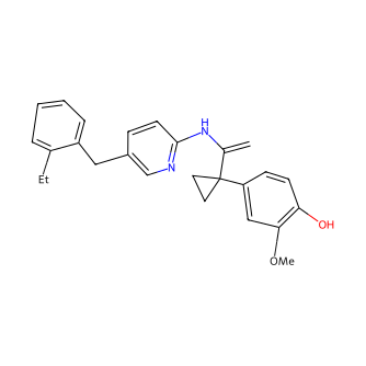 C=C(Nc1ccc(Cc2ccccc2CC)cn1)C1(c2ccc(O)c(OC)c2)CC1